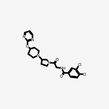 O=C(NCC(=O)N1CCC(N2CCC(Oc3ncccn3)CC2)C1)c1ccc(Cl)c(Cl)c1